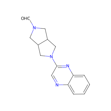 O=CN1CC2CN(c3cnc4ccccc4n3)CC2C1